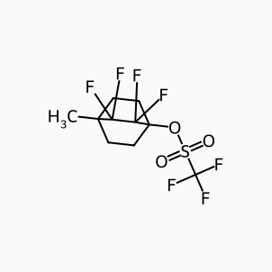 CC12CCC(OS(=O)(=O)C(F)(F)F)(CC1)C(F)(F)C2(F)F